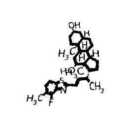 Cc1ccc2sc(CCC(C)[C@H]3CC[C@H]4[C@@H]5CC[C@@H]6C[C@H](O)CC[C@]6(C)[C@H]5C[C@H](O)[C@]34C)nc2c1F